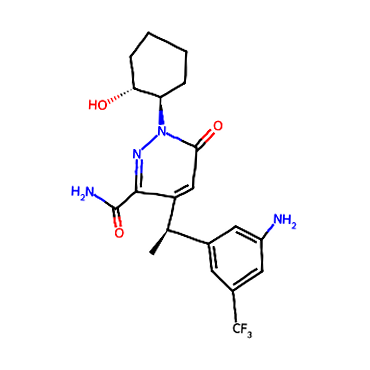 C[C@H](c1cc(N)cc(C(F)(F)F)c1)c1cc(=O)n([C@@H]2CCCC[C@H]2O)nc1C(N)=O